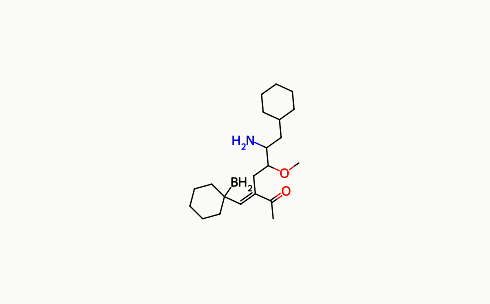 BC1(/C=C(\CC(OC)C(N)CC2CCCCC2)C(C)=O)CCCCC1